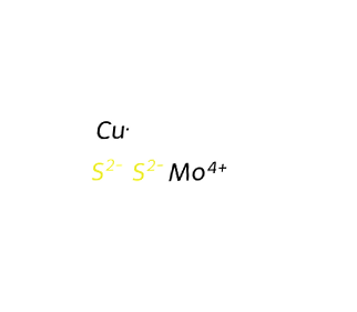 [Cu].[Mo+4].[S-2].[S-2]